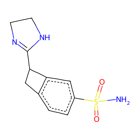 NS(=O)(=O)c1ccc2c(c1)C(C1=NCCN1)C2